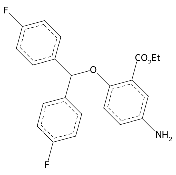 CCOC(=O)c1cc(N)ccc1OC(c1ccc(F)cc1)c1ccc(F)cc1